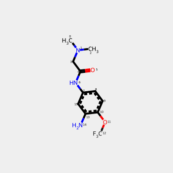 CN(C)CC(=O)Nc1ccc(OC(F)(F)F)c(N)c1